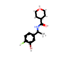 O=C(NC(c1ccc(F)c(Br)c1)C(F)(F)F)C1CCOCC1